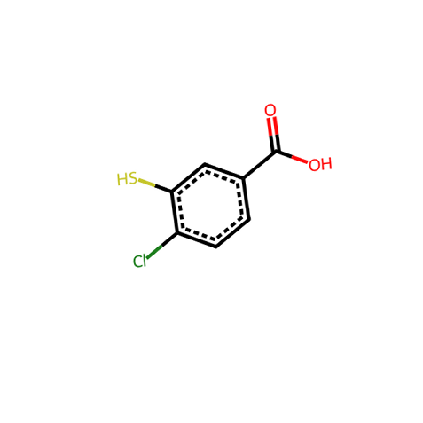 O=C(O)c1ccc(Cl)c(S)c1